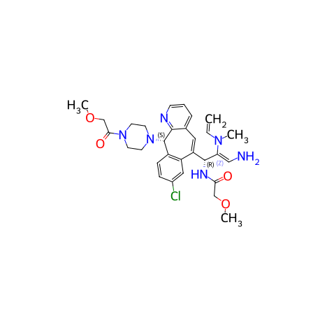 C=CN(C)/C(=C\N)[C@H](NC(=O)COC)C1=Cc2cccnc2[C@@H](N2CCN(C(=O)COC)CC2)c2ccc(Cl)cc21